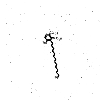 CCC(C)c1ccc(C(=O)O)c(C(=O)O)c1CCCCCCCCCCCCCC(C)C